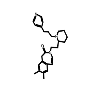 Cc1cc2c(cc1C)CC(=O)N(CCC1CCCCN1CCCc1ccncc1)C=C2